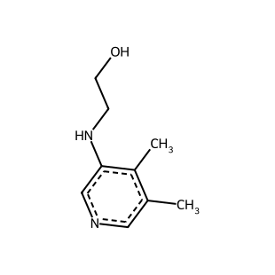 Cc1cncc(NCCO)c1C